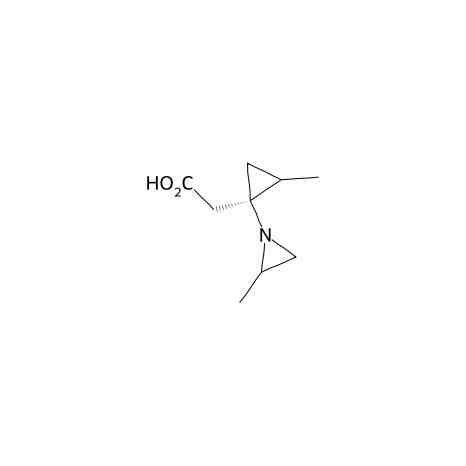 CC1CN1[C@@]1(CC(=O)O)CC1C